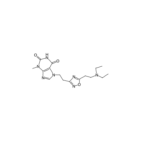 CCN(CC)CCc1nc(CCn2cnc3c2c(=O)[nH]c(=O)n3C)no1